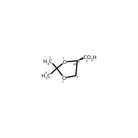 CC1(C)OC[C@H](C(=O)O)O1